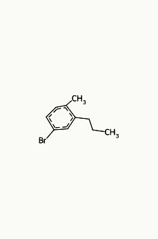 CCCc1cc(Br)ccc1C